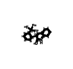 O=c1[nH]c2ccccc2cc1-c1ccccc1C(F)(F)F